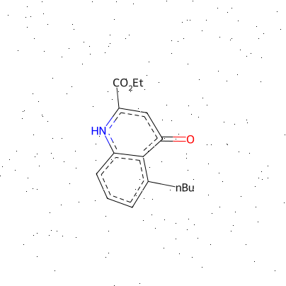 CCCCc1cccc2[nH]c(C(=O)OCC)cc(=O)c12